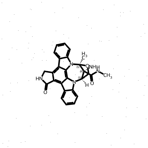 CNC(=O)[C@@]1(N)[C@H]2CO[C@]1(C)n1c3ccccc3c3c4c(c5c6ccccc6n2c5c31)C(=O)NC4